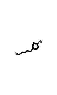 [S]CCCCCc1ccc(Br)cc1